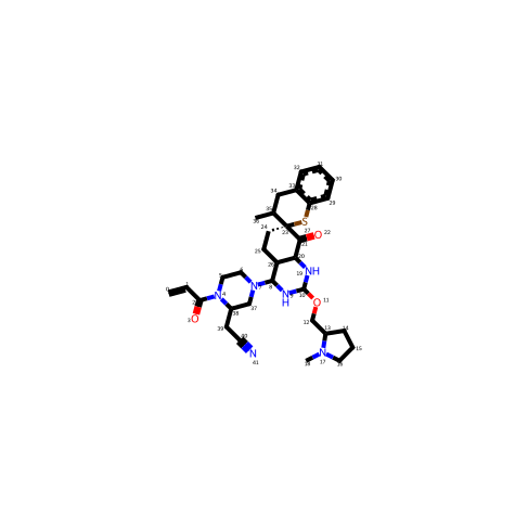 C=CC(=O)N1CCN(C2NC(OCC3CCCN3C)NC3C(=O)[C@]4(CCC32)Sc2ccccc2CC4C)CC1CC#N